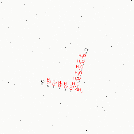 O.O.O.O.O.O.O.O.O.O.O.O.[Cr].[Cr]